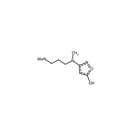 CNCCCN(C)c1cc(O)on1